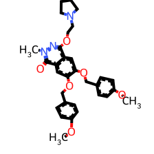 COc1ccc(COc2cc3c(OCCN4CCCC4)nn(C)c(=O)c3cc2OCc2ccc(OC)cc2)cc1